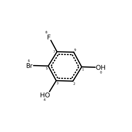 Oc1cc(O)c(Br)c(F)c1